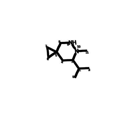 CC(C)C1CC2(CC2)CNN1C